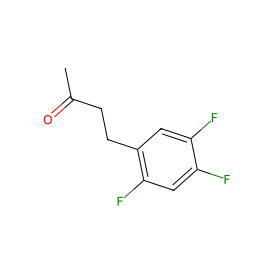 CC(=O)CCc1cc(F)c(F)cc1F